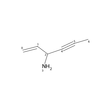 C=CC(N)C#CC